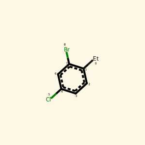 CCc1ccc(Cl)cc1Br